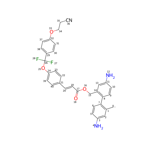 [CH2]c1cc(N)ccc1-c1ccc(N)cc1COC(=O)/C=C/c1ccc(OC(F)(F)c2ccc(OCCC#N)cc2)cc1